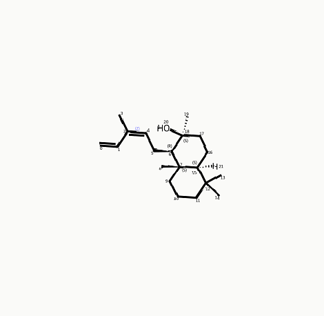 C=C/C(C)=C\C[C@@H]1[C@@]2(C)CCCC(C)(C)[C@@H]2CC[C@]1(C)O